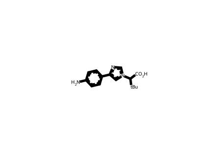 CC(C)(C)C(C(=O)O)n1cnc(-c2ccc(N)cc2)c1